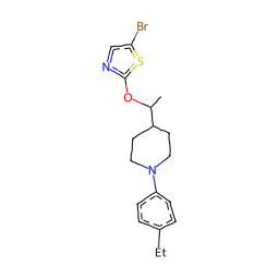 CCc1ccc(N2CCC(C(C)Oc3ncc(Br)s3)CC2)cc1